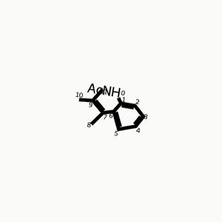 CC(=O)Nc1ccccc1C(C)=C(C)C